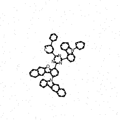 c1ccc(-c2cccc(-c3nc(-c4ccc(-n5c6ccccc6c6cc7ccccc7cc65)c5c4oc4cc6ccccc6cc45)nc(-c4cccc5c4c4ccccc4n5-c4ccccc4)n3)c2)cc1